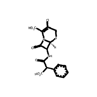 O=C(O)C1=C(Cl)CS[C@H]2C(NC(=O)C(C(=O)O)c3ccccc3)C(=O)N12